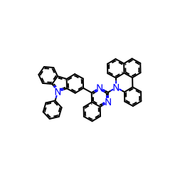 c1ccc(-n2c3ccccc3c3ccc(-c4nc(N5c6ccccc6-c6cccc7cccc5c67)nc5ccccc45)cc32)cc1